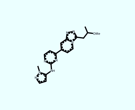 COC(C)Cc1nnc2cc(-c3ccnc(Nc4ccnn4C)n3)ccn12